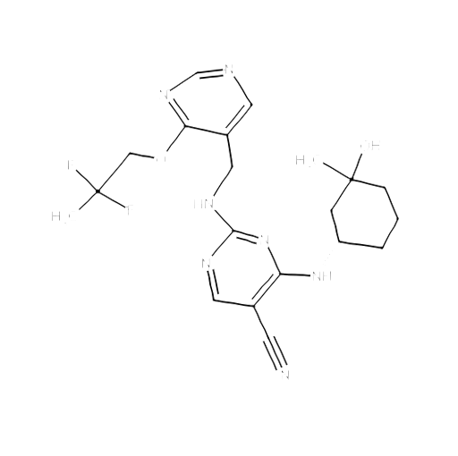 CC(F)(F)COc1ncncc1CNc1ncc(C#N)c(N[C@H]2CCCC(C)(O)C2)n1